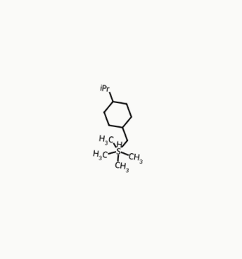 CC(C)C1CCC(C[SH](C)(C)(C)C)CC1